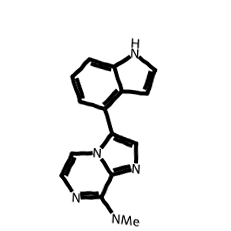 CNc1nccn2c(-c3cccc4[nH]ccc34)cnc12